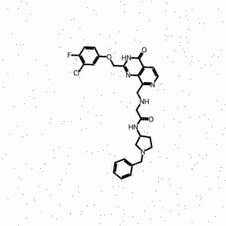 O=C(CNCc1nccc2c(=O)[nH]c(COc3ccc(F)c(Cl)c3)nc12)NC1CCN(Cc2ccccc2)C1